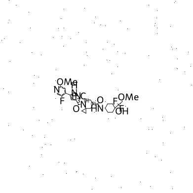 COCC(F)(F)[C@]1(O)CC[C@H](NC(=O)[C@@H]2C[C@@H](C(F)(F)F)N(C(=O)c3cc(-c4cc(OC)ncc4F)[nH]n3)C3(CC3)C2)CC1